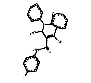 O=C(Nc1ccc(F)cc1)C1=C(O)c2cccnc2N(c2ccccc2)C1O